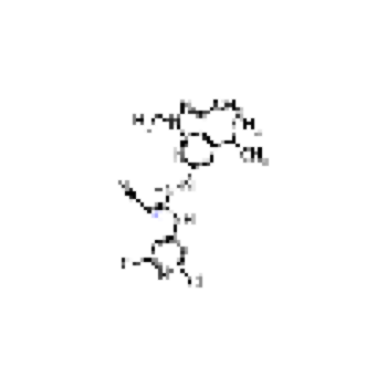 Cc1nn(C)c2nc(NN/C(=C\C#N)Nc3cc(Cl)nc(Cl)c3)cc(C(C)C)c12